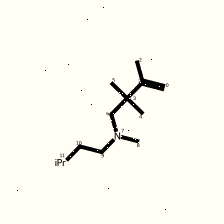 C=C(C)C(C)(C)CN(C)CCC(C)C